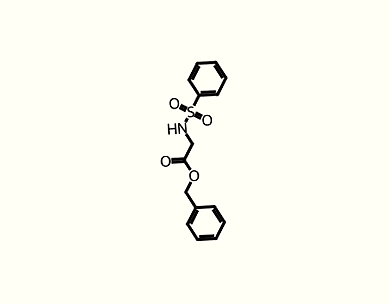 O=C(CNS(=O)(=O)c1ccccc1)OCc1ccccc1